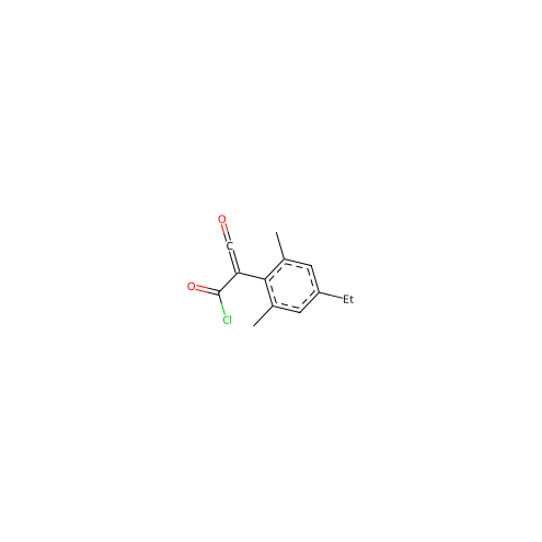 CCc1cc(C)c(C(=C=O)C(=O)Cl)c(C)c1